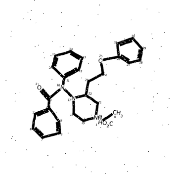 CC(=O)O.O=C(c1ccccc1)N(c1ccccc1)N1CCNCC1CCOc1ccccc1